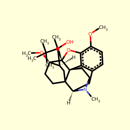 COc1ccc2c3c1O[C@H]1[C@@]4(OC)CCC5(C[C@@H]4C(C)(O)C(C)(C)C)[C@@H](C2)N(C)CC[C@]315